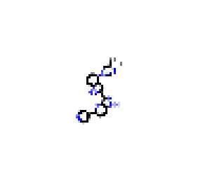 Cc1cn(-c2cccc3[nH]c(-c4n[nH]c5ccc(-c6ccncc6)nc45)cc23)cn1